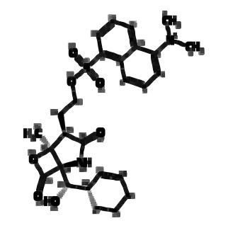 CN(C)c1cccc2c(S(=O)(=O)OCC[C@H]3C(=O)N[C@@]4([C@@H](O)[C@@H]5C=CCCC5)C(=O)O[C@@]34C)cccc12